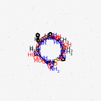 CC(C)[C@@H]1NC(=O)[C@H](Cc2ccccc2)NC(=O)CSC[C@@H](C(=O)NCC(N)=O)NC(=O)[C@@H]2CCCN2C(=O)[C@H](CO)NC(=O)[C@H](CCC(=O)O)NC(=O)[C@H](C)N(C)C(=O)[C@H](Cc2ccc(-c3ccccc3)cc2)NC(=O)[C@H](C)N(C)C(=O)[C@H](Cc2ccccc2)NC(=O)[C@H]([C@@H](C)O)NC(=O)[C@H]([C@@H](C)O)NC(=O)[C@H](CC(=O)O)NC1=O